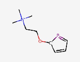 C[N+](C)(C)CCO[c-]1cccp1